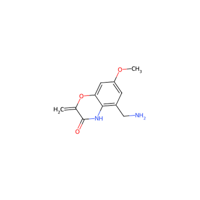 C=C1Oc2cc(OC)cc(CN)c2NC1=O